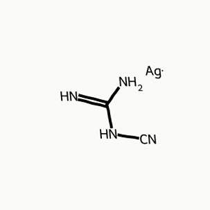 N#CNC(=N)N.[Ag]